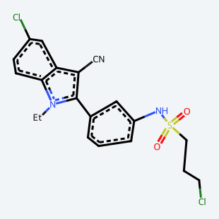 CCn1c(-c2cccc(NS(=O)(=O)CCCCl)c2)c(C#N)c2cc(Cl)ccc21